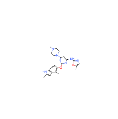 Cc1cc2c(C)c(Oc3nc(Nc4ncc(C)o4)cc(N4CCN(C)CC4)n3)ccc2[nH]1